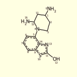 NC1CCN(c2cccc3sc(O)nc23)C(N)C1